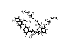 C=Cc1c(Oc2ccc(F)c(-c3nc(C(C)(CCC(F)(F)CCSCC(=O)OCC)c4cccc(CCC(=O)OCC)c4)nn3C)c2)c(F)cc2[nH]ccc12